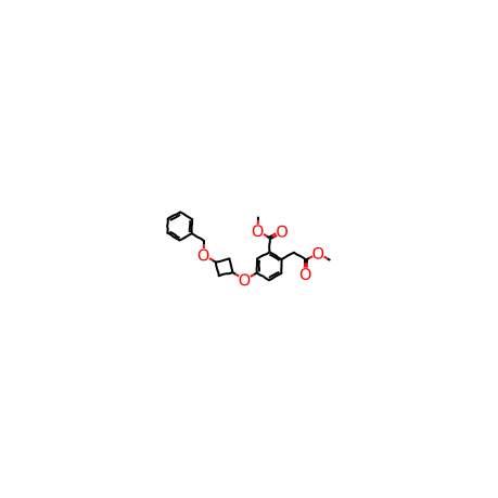 COC(=O)Cc1ccc(OC2CC(OCc3ccccc3)C2)cc1C(=O)OC